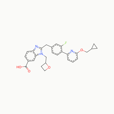 O=C(O)c1ccc2nc(Cc3ccc(-c4cccc(OCC5CC5)n4)c(F)c3)n(CC3CCO3)c2c1